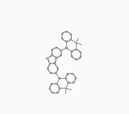 CC1(C)c2ccccc2N(c2ccc3oc4ccc(N5c6ccccc6C(C)(C)c6ccccc65)cc4c3c2)c2ccccc21